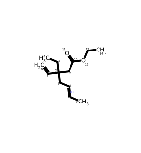 C=CC(CC)(C/C=C/C)CC(=O)OCC